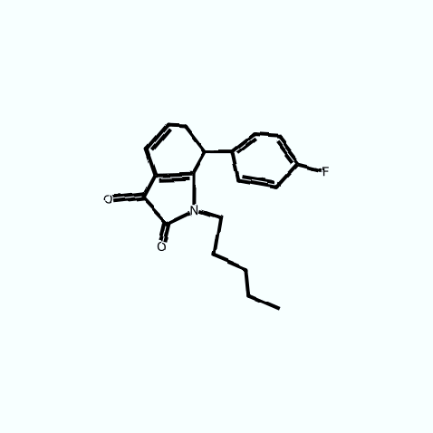 CCCCCN1C(=O)C(=O)C2=C1C(c1ccc(F)cc1)CC=C2